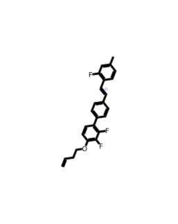 C=CCCOc1ccc(-c2ccc(/C=C/c3ccc(C)cc3F)cc2)c(F)c1F